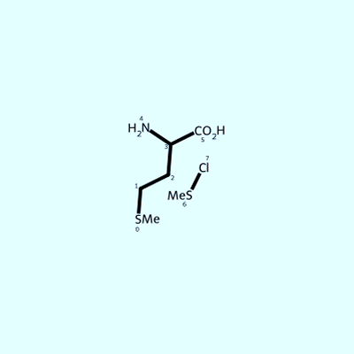 CSCCC(N)C(=O)O.CSCl